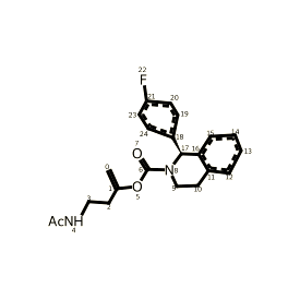 C=C(CCNC(C)=O)OC(=O)N1CCc2ccccc2[C@@H]1c1ccc(F)cc1